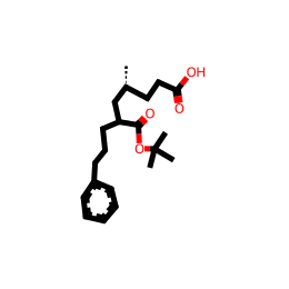 C[C@H](CCC(=O)O)CC(CCCc1ccccc1)C(=O)OC(C)(C)C